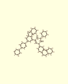 c1ccc(-c2ccc(-c3cc(C4=NC(c5ccc6ccc7ccccc7c6c5)NC(c5ccccc5)N4)c4c(c3)oc3ccccc34)cc2)cc1